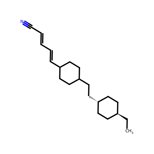 CC[C@H]1CC[C@H](CCC2CCC(C=CC=CC#N)CC2)CC1